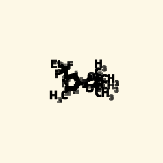 CCC(F)(F)c1cc(B2OC(C)(C)C(C)(C)O2)cc(C)n1